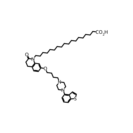 O=C(O)CCCCCCCCCCCCCCCCCN1C(=O)CCc2ccc(OCCCCN3CCN(c4cccc5sccc45)CC3)cc21